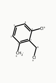 [CH2]c1cccc(Cl)c1CCl